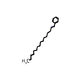 CCCCCCCCCCCCCC/C=C/c1[c]cccc1